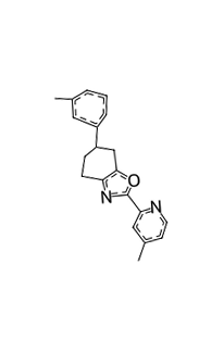 Cc1cccc(C2CCc3nc(-c4cc(C)ccn4)oc3C2)c1